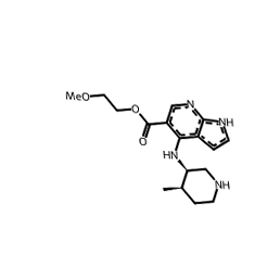 COCCOC(=O)c1cnc2[nH]ccc2c1N[C@H]1CNCC[C@H]1C